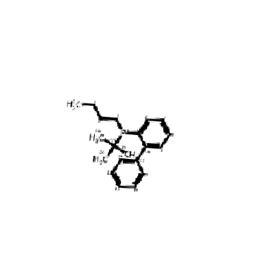 CCCCP(c1ccccc1-c1ccccc1)C(C)(C)C